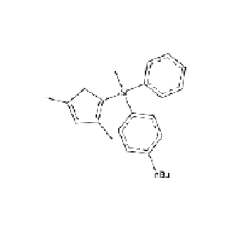 CCCCc1ccc([Si](C)(C2=C(C)C=C(C)C2)c2ccccc2)cc1